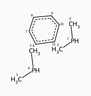 CPC.CPC.c1ccccc1